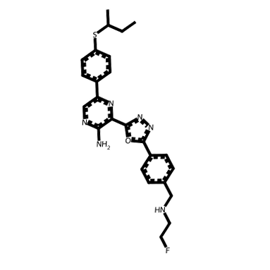 CCC(C)Sc1ccc(-c2cnc(N)c(-c3nnc(-c4ccc(CNCCF)cc4)o3)n2)cc1